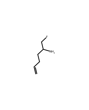 C=CCCC(N)CF